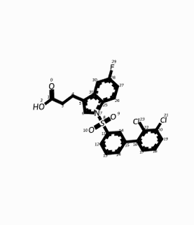 O=C(O)CCc1cn(S(=O)(=O)c2cccc(-c3cccc(Cl)c3Cl)c2)c2ccc(F)cc12